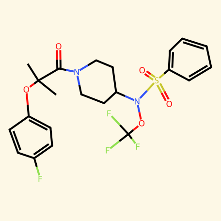 CC(C)(Oc1ccc(F)cc1)C(=O)N1CCC(N(OC(F)(F)F)S(=O)(=O)c2ccccc2)CC1